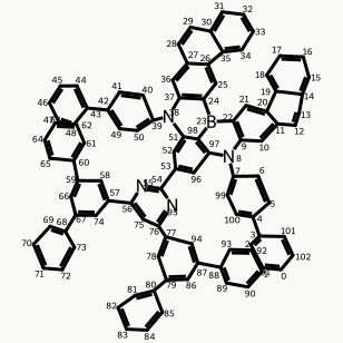 c1ccc(-c2ccc(N3c4cc5ccc6ccccc6c5cc4B4c5cc6c(ccc7ccccc76)cc5N(c5ccc(-c6ccccc6)cc5)c5cc(-c6nc(-c7cc(-c8ccccc8)cc(-c8ccccc8)c7)cc(-c7cc(-c8ccccc8)cc(-c8ccccc8)c7)n6)cc3c54)cc2)cc1